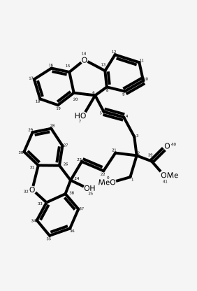 COCC(CC#CC1(O)c2c#cccc2Oc2ccccc21)(CC=CC1(O)c2ccccc2Oc2ccccc21)C(=O)OC